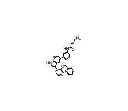 CN(C)CC=CC(=O)Nc1cccc(-c2cnc3[nH]cc(-c4ncncc4OCc4ccccn4)c3c2)c1